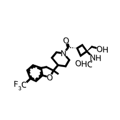 CC1(C2CCN(C(=O)[C@H]3C[C@@](CO)(NC=O)C3)CC2)Cc2ccc(C(F)(F)F)cc2O1